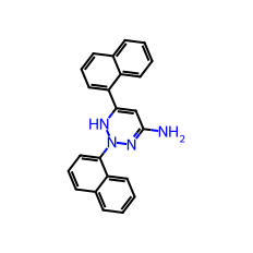 NC1=NN(c2cccc3ccccc23)NC(c2cccc3ccccc23)=C1